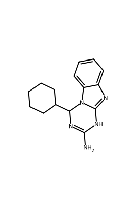 NC1=NC(C2CCCCC2)n2c(nc3ccccc32)N1